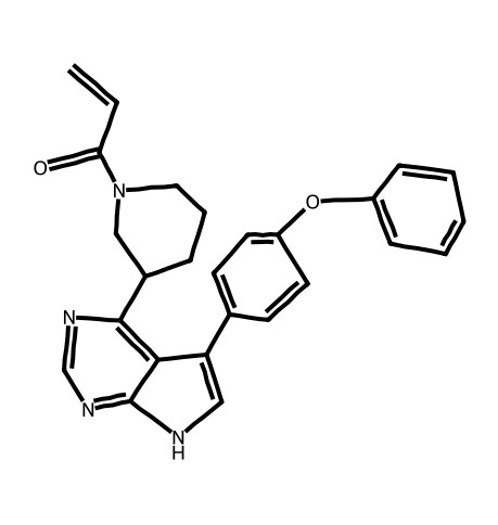 C=CC(=O)N1CCCC(c2ncnc3[nH]cc(-c4ccc(Oc5ccccc5)cc4)c23)C1